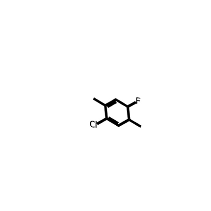 CC1=CC(F)C(C)C=C1Cl